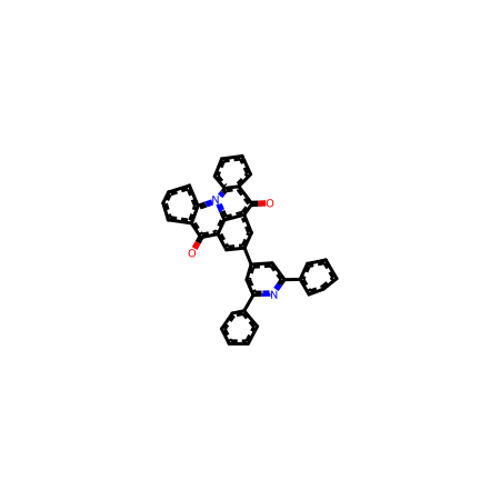 O=c1c2ccccc2n2c3ccccc3c(=O)c3cc(-c4cc(-c5ccccc5)nc(-c5ccccc5)c4)cc1c32